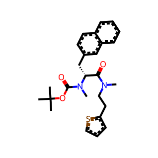 CN(CCc1cccs1)C(=O)[C@@H](Cc1ccc2ccccc2c1)N(C)C(=O)OC(C)(C)C